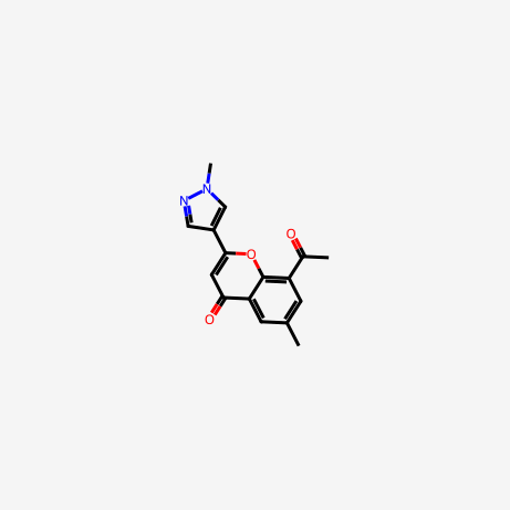 CC(=O)c1cc(C)cc2c(=O)cc(-c3cnn(C)c3)oc12